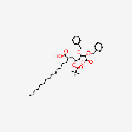 CCCCCCCCCCCCCCC(C[C@H](OC(=O)C(C)(C)C)[C@H]1OC(=O)C(OCc2ccccc2)=C1OCc1ccccc1)C(=O)O